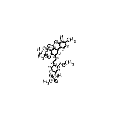 COCc1cc(NS(C)(=O)=O)ccc1C=Cc1cc(-c2ccc(C)[nH]c2=O)cc(C(C)(C)C)c1OC